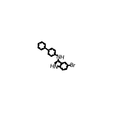 Brc1ccc2[nH]cc(Nc3ccc(-c4ccccc4)cc3)c2c1